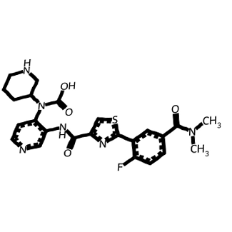 CN(C)C(=O)c1ccc(F)c(-c2nc(C(=O)Nc3cnccc3N(C(=O)O)C3CCCNC3)cs2)c1